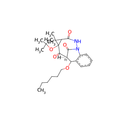 CCCCCCOC1c2ccccc2N2NC(=O)C3C(C)(C)C3(OC(C)(C)C)C(=O)[C@H]1C2=O